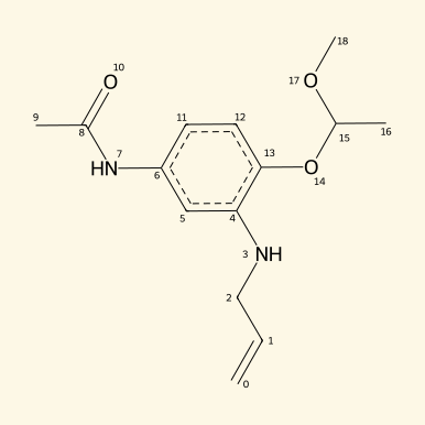 C=CCNc1cc(NC(C)=O)ccc1OC(C)OC